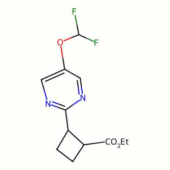 CCOC(=O)C1CCC1c1ncc(OC(F)F)cn1